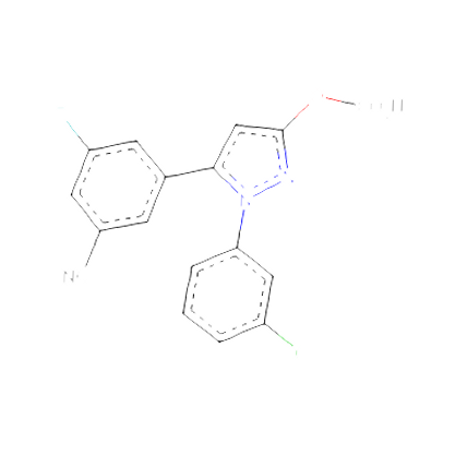 N#Cc1cc(F)cc(-c2cc(OC(=O)O)nn2-c2cccc(Cl)c2)c1